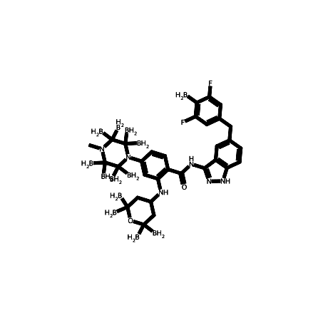 Bc1c(F)cc(Cc2ccc3[nH]nc(NC(=O)c4ccc(N5C(B)(B)C(B)(B)N(C)C(B)(B)C5(B)B)cc4NC4CC(B)(B)OC(B)(B)C4)c3c2)cc1F